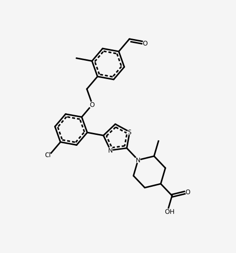 Cc1cc(C=O)ccc1COc1ccc(Cl)cc1-c1csc(N2CCC(C(=O)O)CC2C)n1